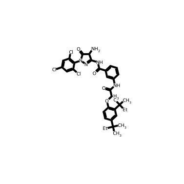 CCC(C)(C)c1ccc(OCC(=O)Nc2cccc(C(=O)NC3=NN(c4c(Cl)cc(Cl)cc4Cl)C(=O)C3N)c2)c(C(C)(C)CC)c1